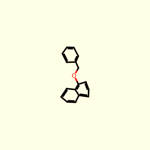 [c]1cccc2c(OCc3ccccc3)cccc12